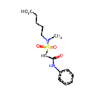 CN(CCCCC(=O)O)S(=O)(=O)BC(=O)Nc1ccccc1